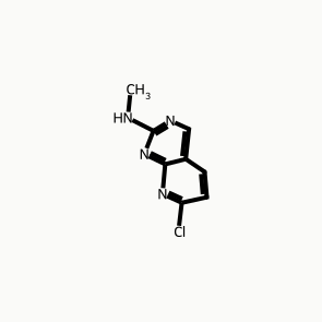 CNc1ncc2ccc(Cl)nc2n1